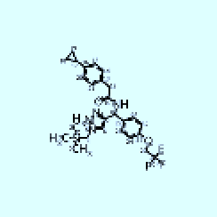 C[Si](C)(C)Cn1cc(C(NC(=O)Cc2ccc(C3CC3)cc2)c2ccc(OCC(F)(F)F)cc2)nn1